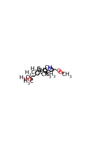 CCOOCCc1ccc(-c2c(C)cc(C(CC)(CC)C3(C)C=CC(/C=C/C(O)(CC)CC)=C(C)C3)cc2C)nc1